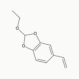 C=Cc1ccc2c(c1)OC(OCC)O2